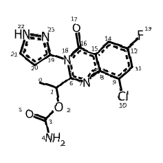 CC(OC(N)=O)c1nc2c(Cl)cc(F)cc2c(=O)n1-c1cc[nH]n1